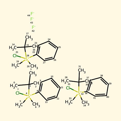 CC(C)(C)[S+](C)(C)(Cl)c1ccccc1.CC(C)(C)[S+](C)(C)(Cl)c1ccccc1.CC(C)(C)[S+](C)(C)(Cl)c1ccccc1.[F-].[F-].[F-]